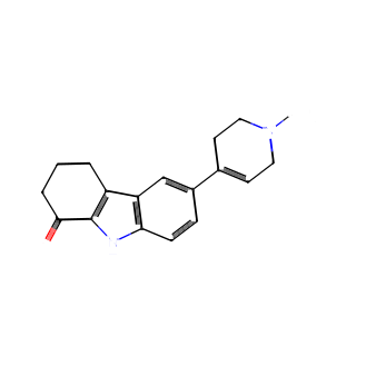 O=C1CCCc2c1[nH]c1ccc(C3=CCN(C(=O)O)CC3)cc21